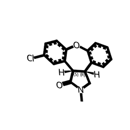 CN1C[C@H]2c3ccccc3Oc3ccc(Cl)cc3[C@H]2C1=O